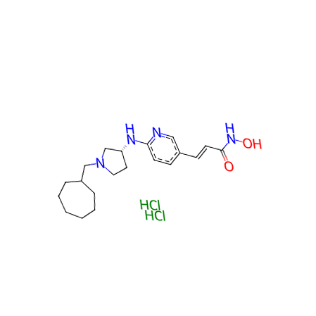 Cl.Cl.O=C(/C=C/c1ccc(N[C@@H]2CCN(CC3CCCCCC3)C2)nc1)NO